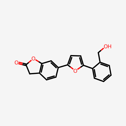 O=C1Cc2ccc(-c3ccc(-c4ccccc4CO)o3)cc2O1